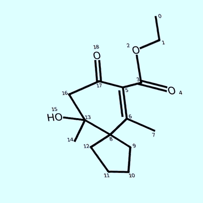 CCOC(=O)C1=C(C)C2(CCCC2)C(C)(O)CC1=O